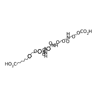 O=C(O)CCCCCCCc1ccc(CCOc2ccc(S(=O)(=O)Nc3ccc(C(=O)NCCOCCOCC(=O)NCCOCCOCC(=O)O)cn3)cc2)cc1